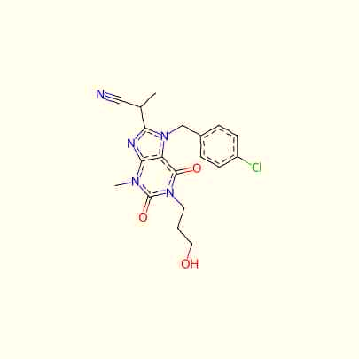 CC(C#N)c1nc2c(c(=O)n(CCCO)c(=O)n2C)n1Cc1ccc(Cl)cc1